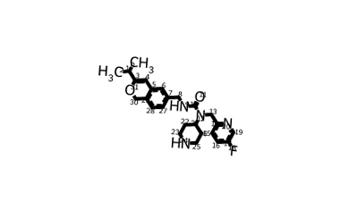 CC(C)C1=Cc2cc(CNC(=O)N(Cc3ccc(F)cn3)C3CCNCC3)ccc2CO1